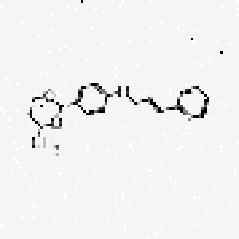 CC1CCOC(c2ccc(OCC=Cc3ccccc3)cc2)O1